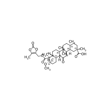 CO[C@H]1CC[C@@]2(C)[C@@H](CC[C@]3(C)[C@@H]2C(=O)C=C2[C@@H]4C[C@@](C)(C(=O)O)CC[C@]4(C)CC[C@]23C)[C@]1(C)C(=O)OCc1oc(=O)oc1C